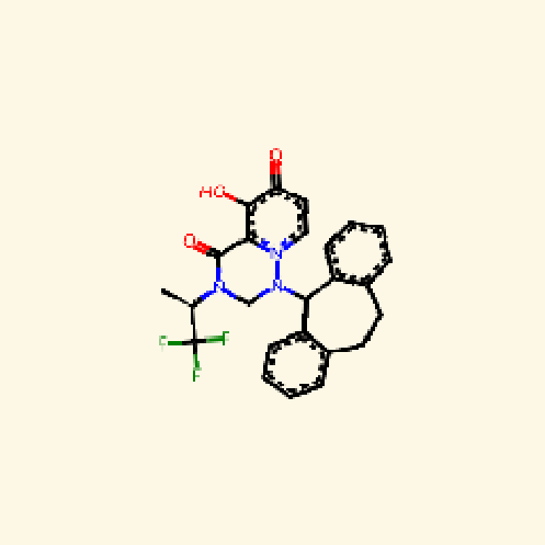 C[C@@H](N1CN(C2c3ccccc3CCc3ccccc32)n2ccc(=O)c(O)c2C1=O)C(F)(F)F